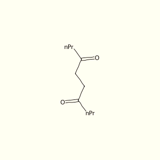 [CH2]CCC(=O)CCC(=O)CC[CH2]